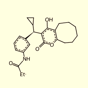 C[CH]C(=O)Nc1cccc([C@H](c2c(O)c3c(oc2=O)CCCCCC3)C2CC2)c1